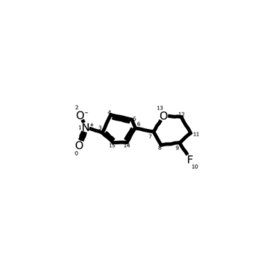 O=[N+]([O-])c1ccc(C2CC(F)CCO2)cc1